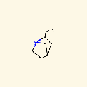 O=[C]C1CC2CCN1C2